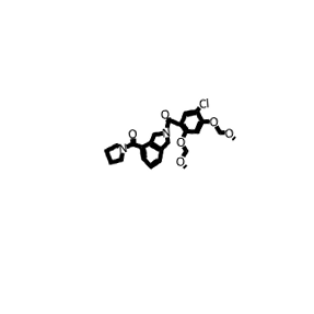 COCOc1cc(OCOC)c(C(=O)N2Cc3cccc(C(=O)N4CCCC4)c3C2)cc1Cl